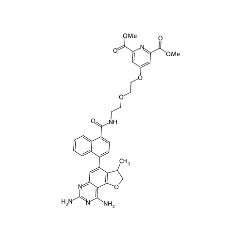 COC(=O)c1cc(OCCOCCNC(=O)c2ccc(-c3cc4nc(N)nc(N)c4c4c3C(C)CO4)c3ccccc23)cc(C(=O)OC)n1